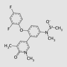 Cc1cc(-c2cc(N(C)[S+](C)[O-])ccc2Oc2ccc(F)cc2F)cn(C)c1=O